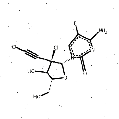 Nc1nc(=O)n([C@@H]2O[C@H](CO)C(O)[C@]2(Cl)C#CCl)cc1F